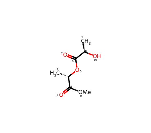 COC(=O)[C@H](C)OC(=O)[C@@H](C)O